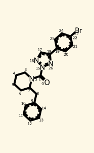 O=C(N1CCCCC1Cc1ccccc1)n1ncc(-c2ccc(Br)cc2)n1